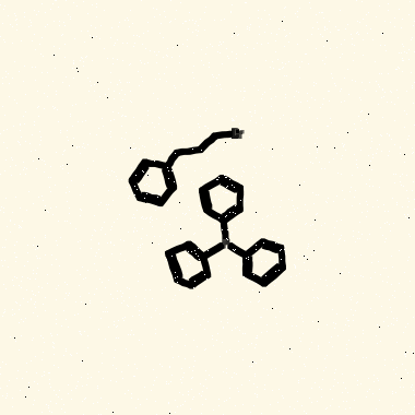 BrCCCc1ccccc1.c1ccc(P(c2ccccc2)c2ccccc2)cc1